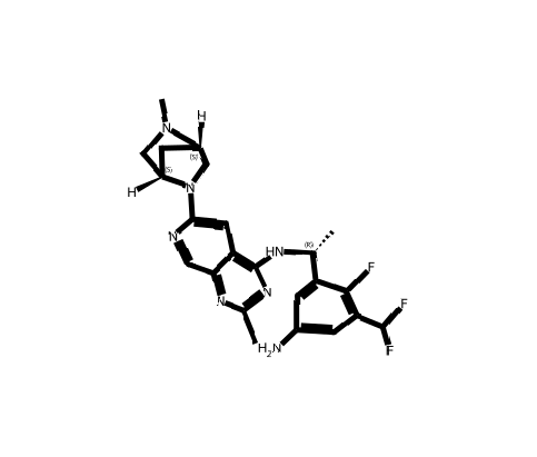 Cc1nc(N[C@H](C)c2cc(N)cc(C(F)F)c2F)c2cc(N3C[C@@H]4C[C@H]3CN4C)ncc2n1